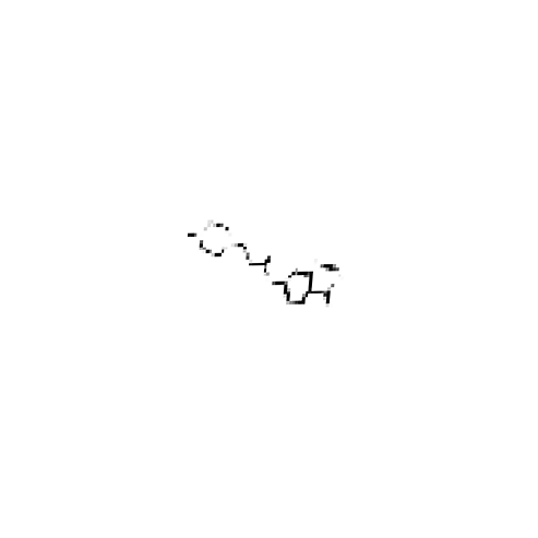 CN1CCN(CCC(=O)Nc2ccc3c(=O)[nH]cnc3c2)CC1